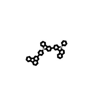 c1ccc(-n2c3ccc(-c4ccc5c(c4)c4ccccc4n5-c4ccc(-c5cc6c7c(cccc7c5)-c5ccccc5-6)cc4)cc3c3c4ccccc4ccc32)cc1